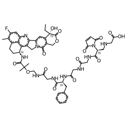 CC[C@@]1(O)C(=O)OCc2c1cc1n(c2=O)Cc2c-1nc1cc(F)c(C)c3c1c2[C@@H](NC(=O)C(C)(C)OCNC(=O)CNC(=O)[C@H](Cc1ccccc1)NC(=O)CNC(=O)CNC(=O)[C@H](CNCC(=O)O)N1C(=O)C=CC1=O)CC3